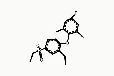 CCc1cc(S(=O)(=O)CC)ccc1Oc1c(C)cc(F)cc1C